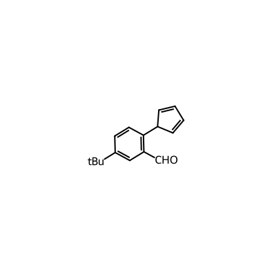 CC(C)(C)c1ccc(C2C=CC=C2)c(C=O)c1